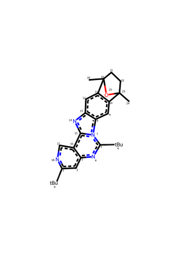 CC(C)(C)c1cc2nc(C(C)(C)C)n3c4cc5c(cc4nc3c2cn1)C1(C)CCC5(C)O1